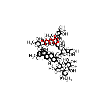 CC[C@H](C)[C@H](C[C@H](O)CC(=O)OC1C(O)C(C)OC(OC(=O)[C@]23CCC(C)(C)CC2C2=CCC4[C@@]5(C)CC[C@H](OC6OC(C(=O)O)C(O)C(OC7OCC(C)C(OC)C7O)C6OC6OC(CO)C(O)C(O)C6O)[C@@](C)(C=O)C5CC[C@@]4(C)[C@]2(C)C[C@H]3O)C1OC1OC(C)C(OC2OCC(O)C(OC3OCC(O)(CO)C3O)C2O)C(O)C1O)OC(=O)C[C@@H](O)C[C@H](OC1OC(CO)C(O)C1O)[C@@H](C)CC